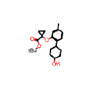 Cc1ccc(C2CCC(O)CC2)c(OC2(C(=O)OC(C)(C)C)CC2)c1